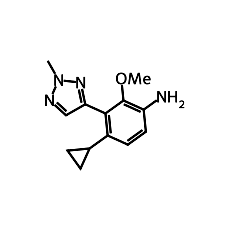 COc1c(N)ccc(C2CC2)c1-c1cnn(C)n1